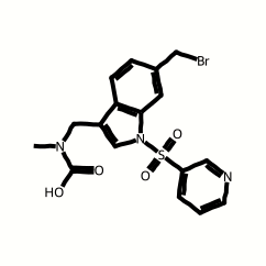 CN(Cc1cn(S(=O)(=O)c2cccnc2)c2cc(CBr)ccc12)C(=O)O